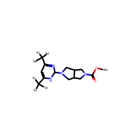 [2H]C([2H])([2H])C1=CC(C([2H])([2H])[2H])=NC(N2CC3CN(C(=O)OC(C)(C)C)CC3C2)N1